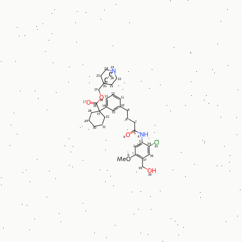 COc1cc(NC(=O)CCCc2cccc(C3(C(=O)OCC45CCN(CC4)CC5)CCCCC3)c2)c(Cl)cc1CO